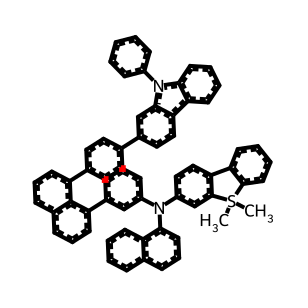 CS1(C)c2ccccc2-c2ccc(N(c3cccc(-c4cccc5cccc(-c6ccc(-c7ccc8c9ccccc9n(-c9ccccc9)c8c7)cc6)c45)c3)c3cccc4ccccc34)cc21